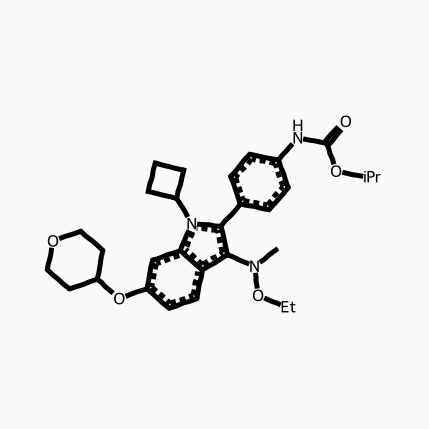 CCON(C)c1c(-c2ccc(NC(=O)OC(C)C)cc2)n(C2CCC2)c2cc(OC3CCOCC3)ccc12